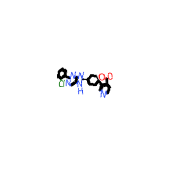 O=C1O[C@]2(CC[C@H](c3nc4nc(-c5ccccc5Cl)ncc4[nH]3)CC2)c2cnccc21